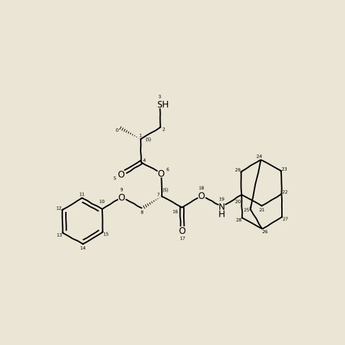 C[C@H](CS)C(=O)O[C@@H](COc1ccccc1)C(=O)ONC12CC3CC(CC(C3)C1)C2